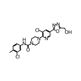 Cc1ccc(NC(=O)N2CCN(c3ncc(-c4nnc(CO)o4)cc3Cl)CC2)cc1Cl